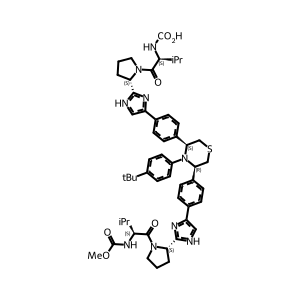 COC(=O)N[C@H](C(=O)N1CCC[C@H]1c1nc(-c2ccc([C@@H]3CSC[C@H](c4ccc(-c5c[nH]c([C@@H]6CCCN6C(=O)[C@@H](NC(=O)O)C(C)C)n5)cc4)N3c3ccc(C(C)(C)C)cc3)cc2)c[nH]1)C(C)C